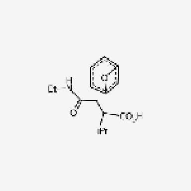 CCNC(=O)CC(C(=O)O)C(C)C.c1cc2cc(c1)O2